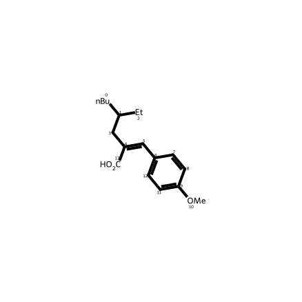 CCCCC(CC)C/C(=C/c1ccc(OC)cc1)C(=O)O